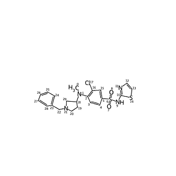 CN(c1ccc(S(=O)(=O)Nc2nccs2)cc1Cl)C1CCN(Cc2ccccc2)C1